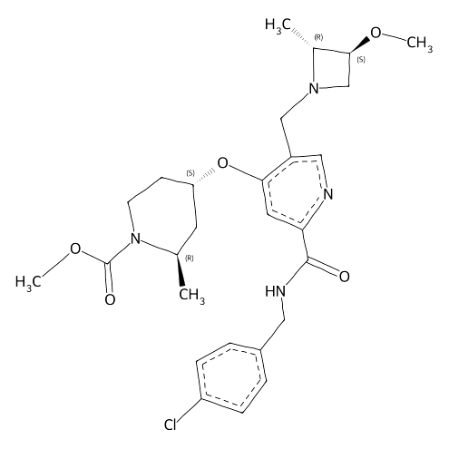 COC(=O)N1CC[C@H](Oc2cc(C(=O)NCc3ccc(Cl)cc3)ncc2CN2C[C@H](OC)[C@H]2C)C[C@H]1C